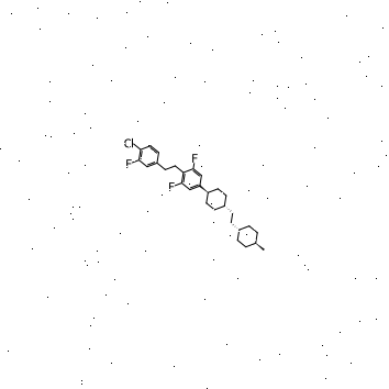 C[C@H]1CC[C@H](CC[C@H]2CC[C@H](c3cc(F)c(CCc4ccc(Cl)c(F)c4)c(F)c3)CC2)CC1